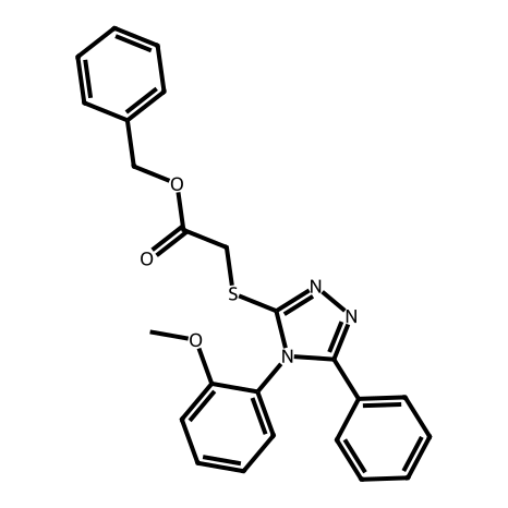 COc1ccccc1-n1c(SCC(=O)OCc2ccccc2)nnc1-c1ccccc1